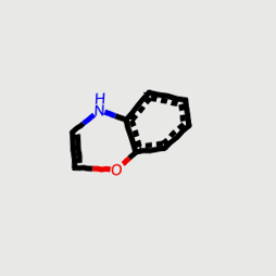 [c]1cccc2c1NC=CO2